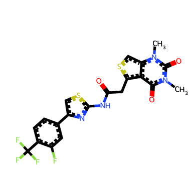 Cn1c(=O)c2c(CC(=O)Nc3nc(-c4ccc(C(F)(F)F)c(F)c4)cs3)scc2n(C)c1=O